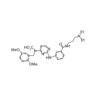 CCN(CC)CCCNC(=O)c1cccc(Nc2nccc(N(Cc3cc(OC)ccc3OC)C(=O)O)n2)c1